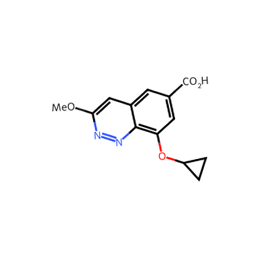 COc1cc2cc(C(=O)O)cc(OC3CC3)c2nn1